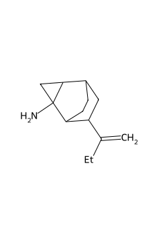 C=C(CC)C1CC2CCC1C1(N)CC21